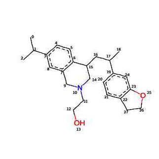 CC(C)c1ccc2c(c1)CN(CCO)CC2CC(C)c1ccc2c(c1)OCC2